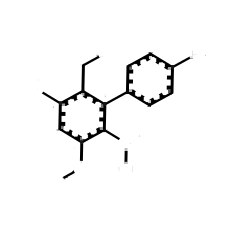 CCOc1cc(C(C)C)c(CO)c(-c2ccc(F)cc2)c1OCC